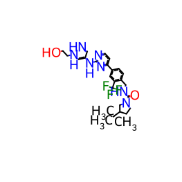 CC(C)(C)C1CCN(C(=O)NCc2ccc(-c3ccnc(N/C(C=N)=C/NCCO)n3)cc2C(F)(F)F)C1